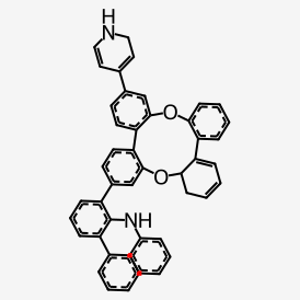 C1=CCC2Oc3cc(-c4cccc(-c5ccccc5)c4Nc4ccccc4)ccc3-c3ccc(C4=CCNC=C4)cc3Oc3ccccc3C2=C1